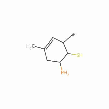 CC1=CC(C(C)C)C(S)C(P)C1